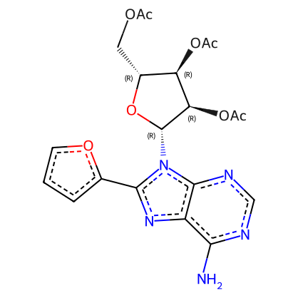 CC(=O)OC[C@H]1O[C@@H](n2c(-c3ccco3)nc3c(N)ncnc32)[C@H](OC(C)=O)[C@@H]1OC(C)=O